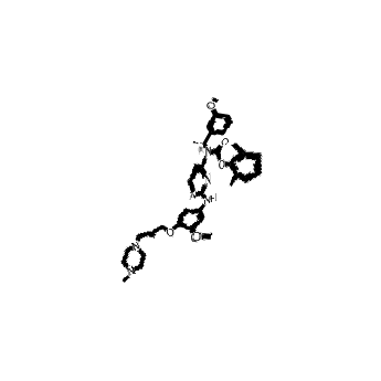 COc1cccc([C@@H](C)N(C(=O)Oc2c(C)cccc2C)c2ccnc(Nc3ccc(OCCCN4CCN(C)CC4)c(OC)c3)n2)c1